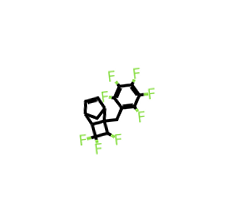 Fc1c(F)c(F)c(CC23C4C=CC(C4)C2C(F)(F)C3F)c(F)c1F